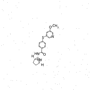 COc1cncc(Sc2ccc(C(=O)N[C@@H]3C[C@H]4CC[C@@H]3N4)cc2)c1